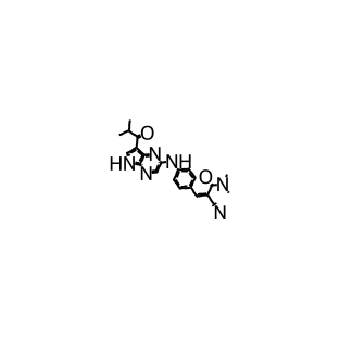 CC(C)C(=O)c1c[nH]c2ncc(Nc3ccc(/C=C(/C#N)C(=O)N(C)C)cc3)nc12